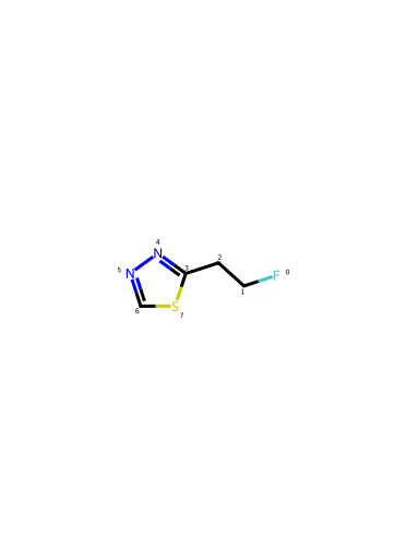 FCCc1nncs1